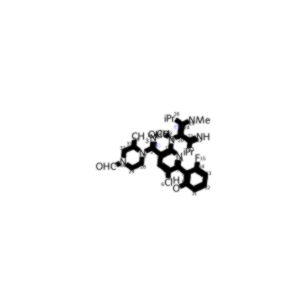 C/N=C(\c1cc(Cl)c(-c2c(O)cccc2F)nc1N(C=O)/C(C(=N)C(C)C)=C(/NC)C(C)C)N1CCN(C=O)CC1C